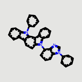 c1ccc(-n2cnc3c(-n4c5ccccc5c5c4ccc4c6ccccc6n(-c6ccccc6)c45)cccc32)cc1